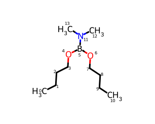 CCCCOB(OCCCC)N(C)C